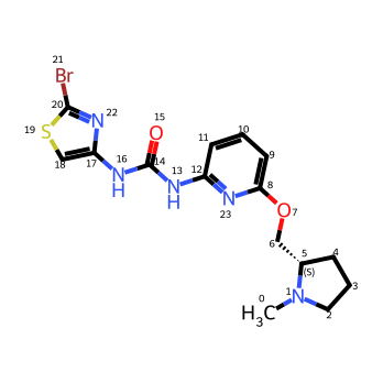 CN1CCC[C@H]1COc1cccc(NC(=O)Nc2csc(Br)n2)n1